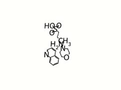 CCCS(=O)(=O)O.NN1CCOCC1.c1ccc2ncccc2c1